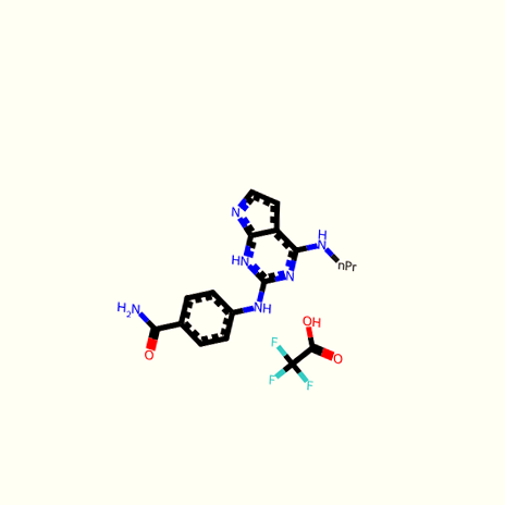 CCCNc1nc(Nc2ccc(C(N)=O)cc2)[nH]c2nccc1-2.O=C(O)C(F)(F)F